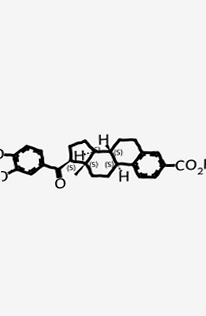 C[C@]12CC[C@@H]3c4ccc(C(=O)O)cc4CC[C@H]3[C@@H]1CC[C@@H]2C(=O)c1ccc2c(c1)OCO2